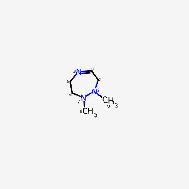 CN1CC=NCCN1C